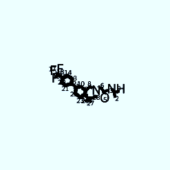 CC(C)NC(=O)CN1Cc2cc(-c3ccc(C(F)(F)F)cc3)ccc2C(C)(C)C1